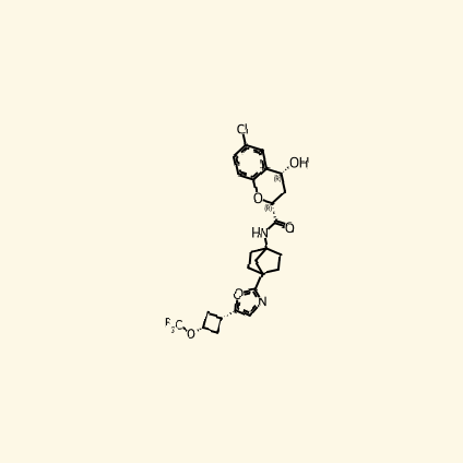 O=C(NC12CCC(c3ncc([C@H]4C[C@@H](OC(F)(F)F)C4)o3)(CC1)C2)[C@H]1C[C@@H](O)c2cc(Cl)ccc2O1